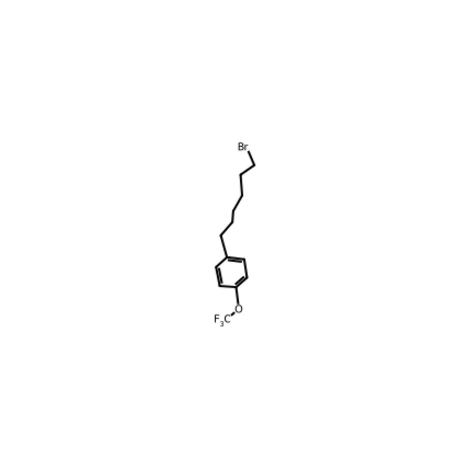 FC(F)(F)Oc1ccc(CCCCCCBr)cc1